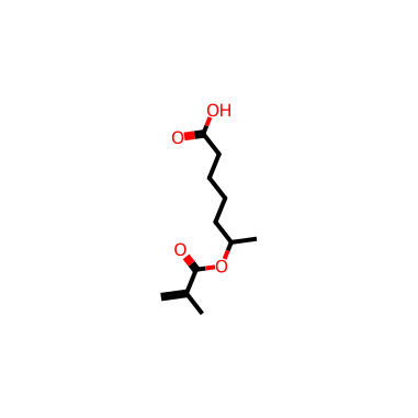 C=C(C)C(=O)OC(C)CCCCC(=O)O